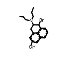 CCCN(CCC)C1Cc2cc(O)cc3cccc(c23)C1Br